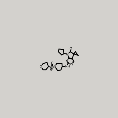 O=C1N(C2CCCC2)c2nc(NC3CCN(S(=O)(=O)C4CCOCC4)CC3)ncc2C12CC2